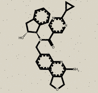 Nc1nc2cc(CN(C(=O)c3cnc(C4CC4)nc3)[C@@H]3c4ccccc4C[C@H]3O)ccc2c2c1COC2